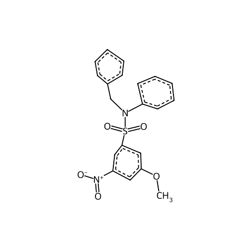 COc1cc([N+](=O)[O-])cc(S(=O)(=O)N(Cc2ccccc2)c2ccccc2)c1